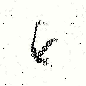 CCCCCCCCCCCCCCCCCCCCCCOc1ccc(S(=O)(=O)c2cnc3ccc([S+](C)[O-])cc3c2N2CCC(N3CCC(N4CCN(CCC)CC4)CC3)CC2)cc1